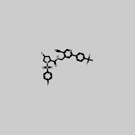 N#Cc1cnc(-c2ccc(C(F)(F)F)cc2)cc1CNC(=O)C1CC(F)CN1S(=O)(=O)c1ccc(F)cc1